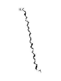 CC=CCCC=CCCC=CCCC=CCCC=CCCC=CC